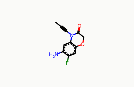 CC#CN1C(=O)COc2cc(F)c(N)cc21